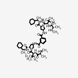 CN[C@@H](C)C(=O)N[C@H](C(=O)N1C[C@@H](NC(=O)c2cccc(C(=O)N[C@H]3C[C@@H](C(=O)N[C@H](C)C4CCCCC4)N(C(=O)[C@@H](NC(=O)[C@H](C)NC)C(C)(C)C)C3)c2)C[C@H]1C(=O)N[C@H](C)C1CCCCC1)C(C)(C)C